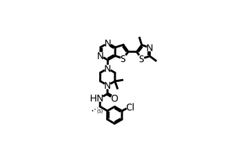 Cc1nc(C)c(-c2cc3ncnc(N4CCN(C(=O)N[C@@H](C)c5cccc(Cl)c5)C(C)(C)C4)c3s2)s1